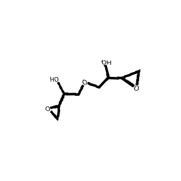 OC(COCC(O)C1CO1)C1CO1